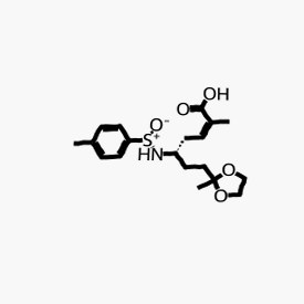 CC(=CC[C@H](CCC1(C)OCCO1)N[S@@+]([O-])c1ccc(C)cc1)C(=O)O